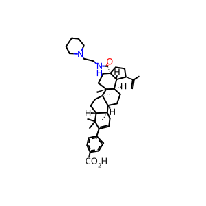 C=C(C)[C@@H]1CC[C@]2(C(=O)NCCN3CCCCC3)CC[C@]3(C)[C@H](CC[C@@H]4[C@@]5(C)CC=C(c6ccc(C(=O)O)cc6)C(C)(C)[C@@H]5CC[C@]43C)[C@@H]12